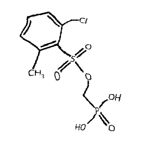 Cc1cccc(Cl)c1S(=O)(=O)OCP(=O)(O)O